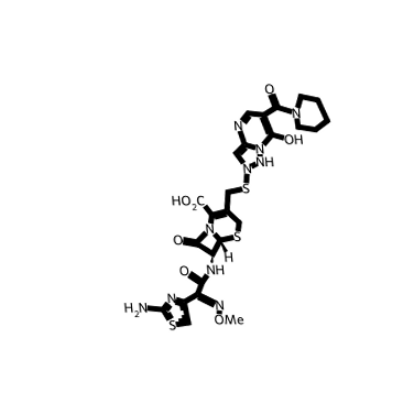 CON=C(C(=O)N[C@@H]1C(=O)N2C(C(=O)O)=C(CSN3C=C4N=CC(C(=O)N5CCCCC5)=C(O)N4N3)CS[C@H]12)c1csc(N)n1